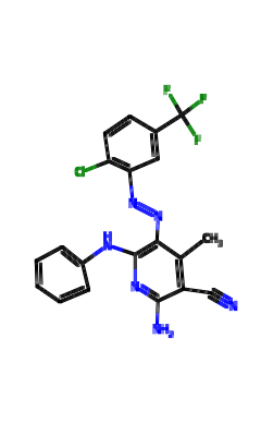 Cc1c(C#N)c(N)nc(Nc2ccccc2)c1N=Nc1cc(C(F)(F)F)ccc1Cl